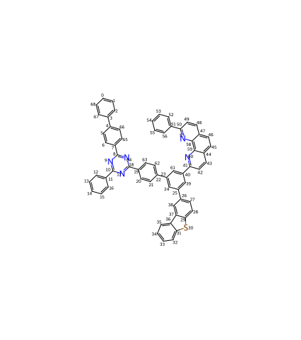 c1ccc(-c2ccc(-c3nc(-c4ccccc4)nc(-c4ccc(-c5cc(-c6ccc7sc8ccccc8c7c6)cc(-c6ccc7ccc8ccc(-c9ccccc9)nc8c7n6)c5)cc4)n3)cc2)cc1